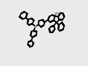 CC12CC=C(C3=CCC(N(c4ccc(-c5ccccc5)cc4)c4ccc(-c5ccccc5)cc4)C=C3)C=C1C(c1ccccc1)(c1ccccc1)c1ccccc12